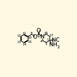 [C-]#[N+]C1(N)CCN(C(=O)OCc2ccccc2)CC1